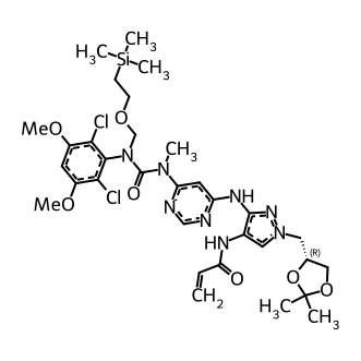 C=CC(=O)Nc1cn(C[C@@H]2COC(C)(C)O2)nc1Nc1cc(N(C)C(=O)N(COCC[Si](C)(C)C)c2c(Cl)c(OC)cc(OC)c2Cl)ncn1